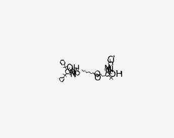 CC(C)(c1ccccc1)c1cc(-n2nc3ccccc3n2)c(O)c(C(C)(C)c2ccccc2)c1.CCCCCCCCOC(=O)CCc1cc(-n2nc3ccc(Cl)cc3n2)c(O)c(C(C)(C)C)c1